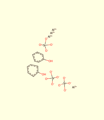 Oc1ccccc1.Oc1ccccc1.[Al+3].[Al+3].[Al+3].[Al+3].[O-][Si]([O-])([O-])[O-].[O-][Si]([O-])([O-])[O-].[O-][Si]([O-])([O-])[O-]